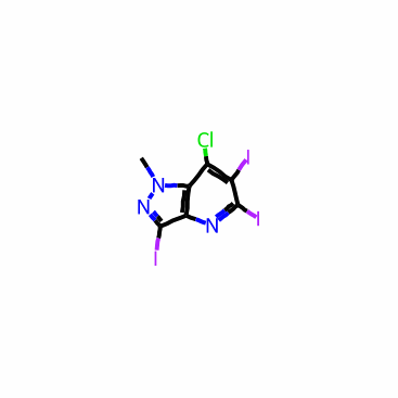 Cn1nc(I)c2nc(I)c(I)c(Cl)c21